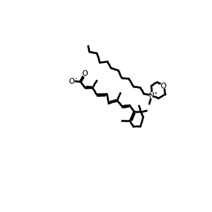 CC1=C(/C=C/C(C)=C/C=C/C(C)=C/C(=O)[O-])C(C)(C)CCC1.CCCCCCCCCCCC[N+]1(C)CCOCC1